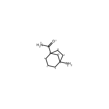 NC(=O)C12CCCC(N)(CC1)C2